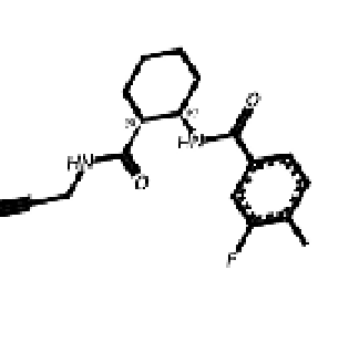 Cc1ccc(C(=O)N[C@@H]2CCCC[C@@H]2C(=O)NCC#N)cc1F